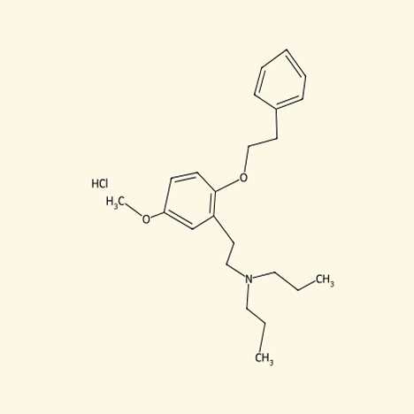 CCCN(CCC)CCc1cc(OC)ccc1OCCc1ccccc1.Cl